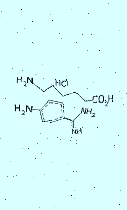 Cl.N=C(N)c1ccc(N)cc1.NCCCCCC(=O)O